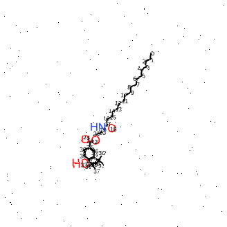 CCCCCCCCCCCCCCCCCC(=O)NCCOC(=O)C1=CC(C(C)(C)C)C(O)(C(C)(C)C)C=C1